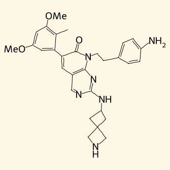 COc1cc(OC)c(C)c(-c2cc3cnc(NC4CC5(CNC5)C4)nc3n(CCc3ccc(N)cc3)c2=O)c1